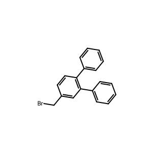 BrCc1ccc(-c2ccccc2)c(-c2ccccc2)c1